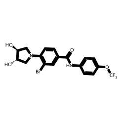 O=C(Nc1ccc(OC(F)(F)F)cc1)c1ccc(N2C[C@H](O)[C@@H](O)C2)c(Br)c1